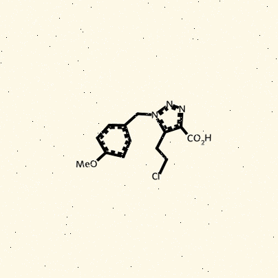 COc1ccc(Cn2nnc(C(=O)O)c2CCCl)cc1